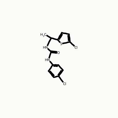 CC(NC(=O)Nc1ccc(Cl)cc1)c1ccc(Cl)s1